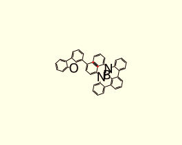 c1ccc(N2B3c4c(cccc4-c4ccccc4N3c3ccc(-c4cccc5c4oc4ccccc45)cc3)-c3ccccc32)cc1